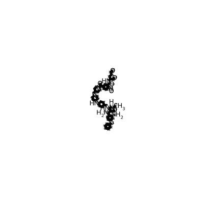 CCN/C(NCC1CCC(NC2CCN(CC3CCN(C(=O)c4ccc(N=O)c(C(=O)NC(C=O)CCC=O)c4)CC3)CC2)CC1)=C(\C(N)=O)C(N)c1ccc(Oc2ccccc2)cc1